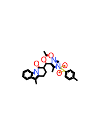 CC(=O)OC(c1ncn(S(=O)(=O)c2ccc(C)cc2)c1C)C1CCc2c(C)c3ccccc3n2C1=O